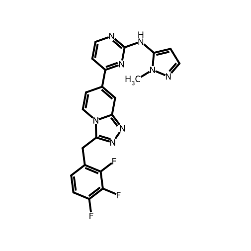 Cn1nccc1Nc1nccc(-c2ccn3c(Cc4ccc(F)c(F)c4F)nnc3c2)n1